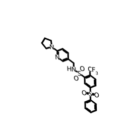 O=S(=O)(NCc1ccc(N2CCCC2)nc1)c1cc(S(=O)(=O)c2ccccc2)ccc1C(F)(F)F